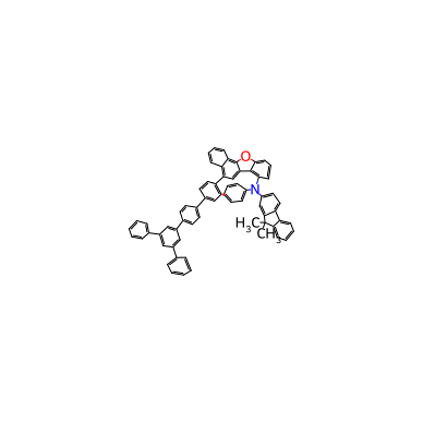 CC1(C)c2ccccc2-c2ccc(N(c3ccccc3)c3cccc4oc5c6ccccc6c(-c6ccc(-c7ccc(-c8cc(-c9ccccc9)cc(-c9ccccc9)c8)cc7)cc6)cc5c34)cc21